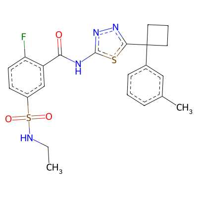 CCNS(=O)(=O)c1ccc(F)c(C(=O)Nc2nnc(C3(c4cccc(C)c4)CCC3)s2)c1